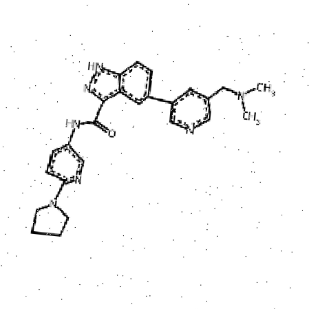 CN(C)Cc1cncc(-c2ccc3[nH]nc(C(=O)Nc4ccc(N5CCCC5)nc4)c3c2)c1